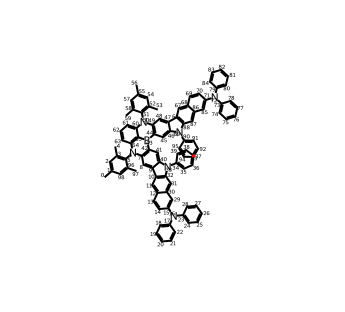 Cc1cc(C)c(N2c3cc4c5cc6ccc(N(c7ccccc7)c7ccccc7)cc6cc5n(-c5ccccc5)c4cc3B3c4cc5c(cc4N(c4c(C)cc(C)cc4C)c4cccc2c43)c2cc3ccc(N(c4ccccc4)c4ccccc4)cc3cc2n5-c2ccccc2)c(C)c1